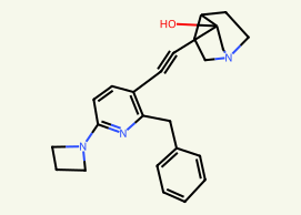 OC1(C#Cc2ccc(N3CCC3)nc2Cc2ccccc2)CN2CCC1CC2